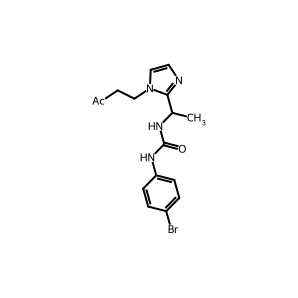 CC(=O)CCn1ccnc1C(C)NC(=O)Nc1ccc(Br)cc1